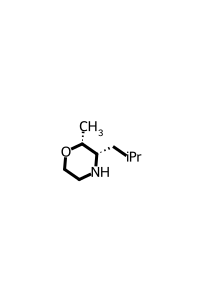 CC(C)C[C@@H]1NCCO[C@@H]1C